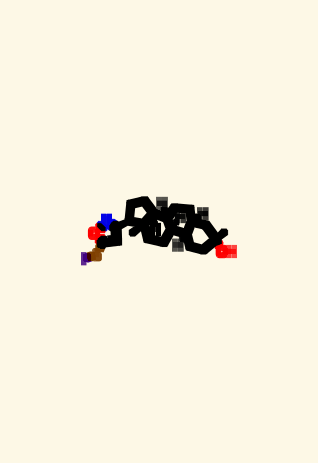 C[C@@]1(O)CC[C@H]2[C@H](CC[C@@H]3[C@@H]2CC[C@]2(C)[C@@H](c4cc(SI)on4)CC[C@@H]32)C1